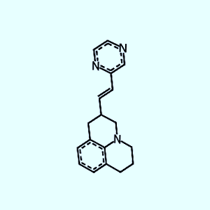 C(=CC1Cc2cccc3c2N(CCC3)C1)c1cnccn1